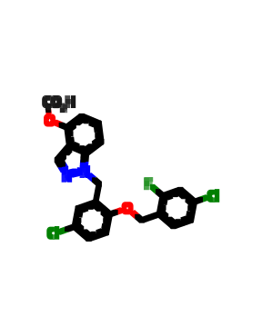 O=C(O)Oc1cccc2c1cnn2Cc1cc(Cl)ccc1OCc1ccc(Cl)cc1F